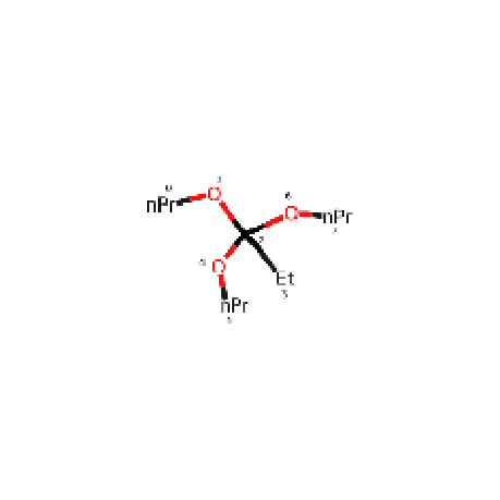 CCCOC(CC)(OCCC)OCCC